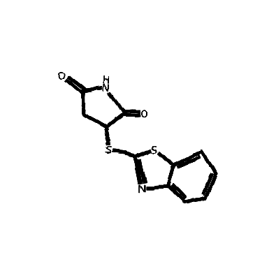 O=C1CC(Sc2nc3ccccc3s2)C(=O)N1